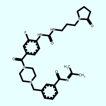 CC(C)=NC(=O)c1cccc(CN2CCN(C(=O)c3ccc(NC(=O)NCCCN4CCCC4=O)c(F)c3)CC2)c1